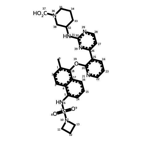 Cc1ccc2c(NS(=O)(=O)N3CCC3)cccc2c1Oc1ncccc1-c1ccnc(NC2CCCN(C(=O)O)C2)n1